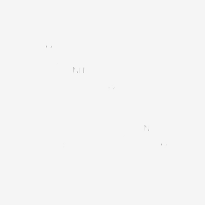 O=Nc1ccc(Cl)c(C2CCCC(=O)NC2=O)c1